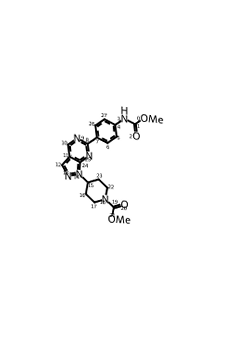 COC(=O)Nc1ccc(-c2ncc3cnn(C4CCN(C(=O)OC)CC4)c3n2)cc1